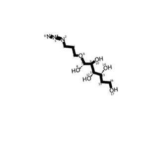 [N-]=[N+]=NCCCO[C@@H](O)C(O)[C@@H](O)[C@H](O)CCO